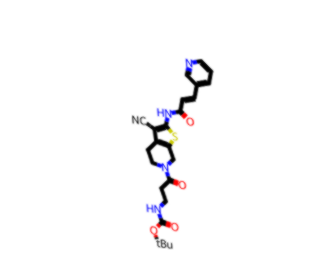 CC(C)(C)OC(=O)NCCC(=O)N1CCc2c(sc(NC(=O)/C=C/c3cccnc3)c2C#N)C1